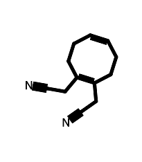 N#CC/C1=C(\CC#N)CC/C=C\CC1